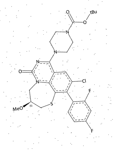 CO[C@@H]1CSc2c(-c3ccc(F)cc3F)c(Cl)cc3c(N4CCN(C(=O)OC(C)(C)C)CC4)nc(=O)n(c23)C1